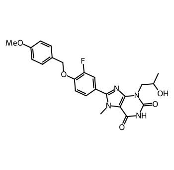 COc1ccc(COc2ccc(-c3nc4c(c(=O)[nH]c(=O)n4CC(C)O)n3C)cc2F)cc1